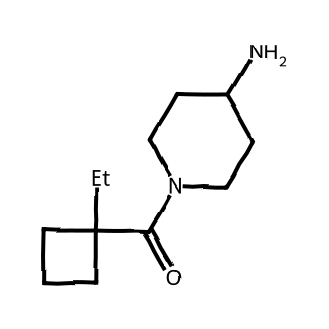 CCC1(C(=O)N2CCC(N)CC2)CCC1